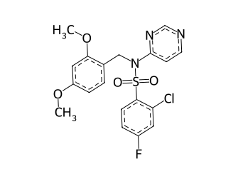 COc1ccc(CN(c2ccncn2)S(=O)(=O)c2ccc(F)cc2Cl)c(OC)c1